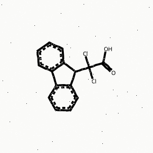 O=C(O)C(Cl)(Cl)C1c2ccccc2-c2ccccc21